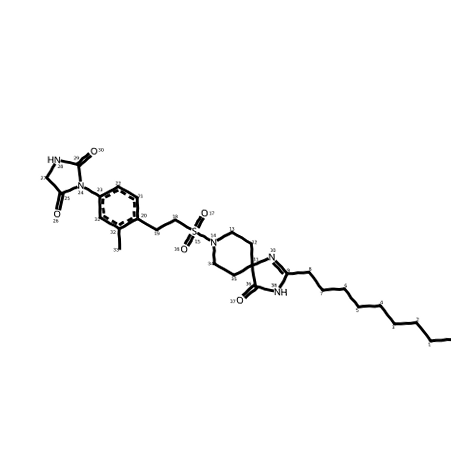 CCCCCCCCCC1=NC2(CCN(S(=O)(=O)CCc3ccc(N4C(=O)CNC4=O)cc3C)CC2)C(=O)N1